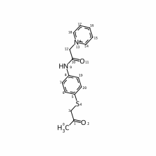 CC(=O)CSc1ccc(NC(=O)C[n+]2ccccc2)cc1